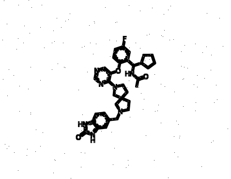 CC(=O)NC(c1cc(F)ccc1Oc1cncnc1N1CCC2(CCN(Cc3ccc4[nH]c(=O)[nH]c4c3)C2)C1)C1CCCC1